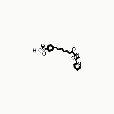 CS(=O)(=O)c1ccc(CCCCCCC(=O)c2ncc(-c3ccccn3)o2)cc1